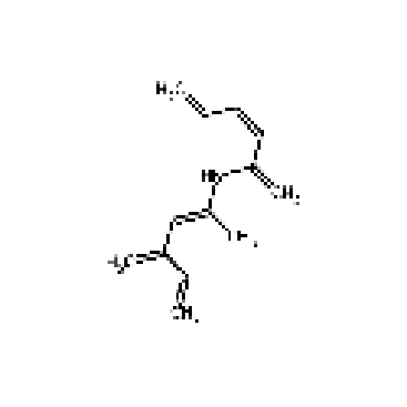 C=C/C=C\C(=C)N/C(C)=C/C(=C)C=C